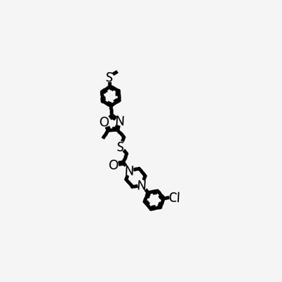 CSc1ccc(-c2nc(CSCC(=O)N3CCN(c4cccc(Cl)c4)CC3)c(C)o2)cc1